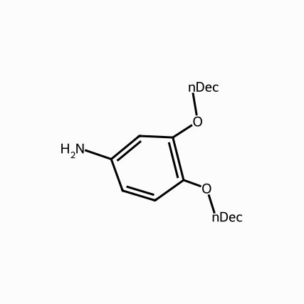 CCCCCCCCCCOc1ccc(N)cc1OCCCCCCCCCC